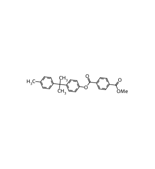 COC(=O)c1ccc(C(=O)Oc2ccc(C(C)(C)c3ccc(C)cc3)cc2)cc1